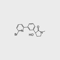 CN1CC[C@@](O)(c2cccc(-c3cccc(Br)n3)c2)C1=O